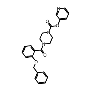 O=C(Oc1cccnc1)N1CCN(C(=O)c2ccccc2OCc2ccccc2)CC1